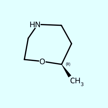 C[C@@H]1CCNCCO1